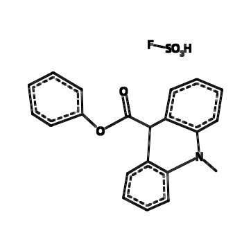 CN1c2ccccc2C(C(=O)Oc2ccccc2)c2ccccc21.O=S(=O)(O)F